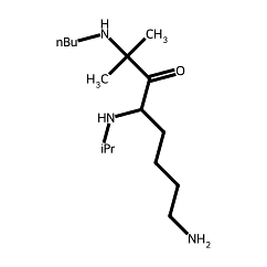 CCCCNC(C)(C)C(=O)C(CCCCN)NC(C)C